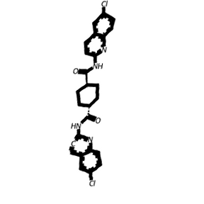 O=C(Nc1ccc2cc(Cl)ccc2n1)[C@H]1CC[C@H](C(=O)Nc2ccc3cc(Cl)ccc3n2)CC1